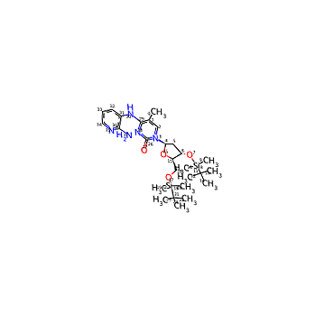 Cc1cn([C@H]2C[C@H](O[Si](C)(C)C(C)(C)C)[C@@H](CO[Si](C)(C)C(C)(C)C)O2)c(=O)nc1Nc1cccnc1N